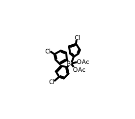 CC(=O)[O][Bi]([O]C(C)=O)([c]1ccc(Cl)cc1)([c]1ccc(Cl)cc1)[c]1ccc(Cl)cc1